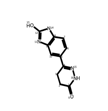 O=C1CCC(c2ccc3c(c2)N=C(O)[N]3)=NN1